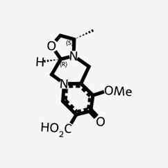 COc1c2n(cc(C(=O)O)c1=O)C[C@H]1OC[C@H](C)N1C2